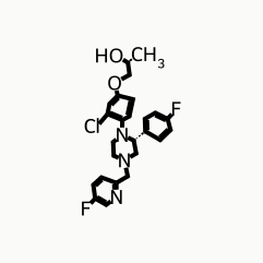 C[C@@H](O)COc1ccc(N2CCN(Cc3ccc(F)cn3)C[C@H]2c2ccc(F)cc2)c(Cl)c1